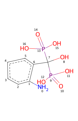 Nc1ccccc1C(O)(P(=O)(O)O)P(=O)(O)O